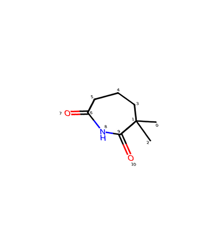 CC1(C)CCCC(=O)NC1=O